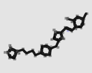 Cc1ccc(/C=C/c2nc(Cc3ccc(CCCCn4ccnn4)cc3)co2)c(F)c1